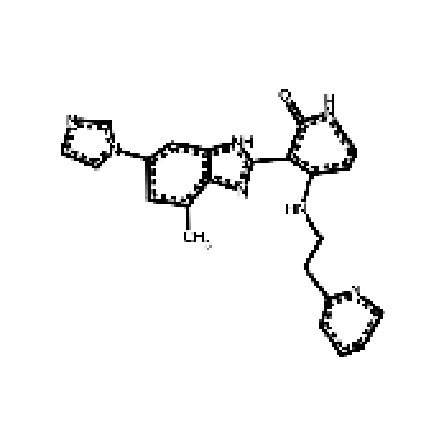 Cc1cc(-n2ccnc2)cc2[nH]c(-c3c(NCCc4ccccn4)cc[nH]c3=O)nc12